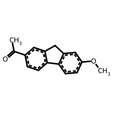 COc1ccc2c(c1)Cc1cc(C(C)=O)ccc1-2